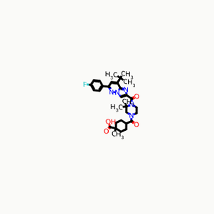 CC1(C(=O)O)CCC(C(=O)N2CCN(C(=O)c3cn4nc(-c5ccc(F)cc5)cc(C(C)(C)C)c4n3)C(C)(C)C2)CC1